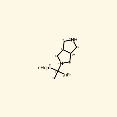 CCCCCCCC(C)(CCC)N1CC2CNCC2C1